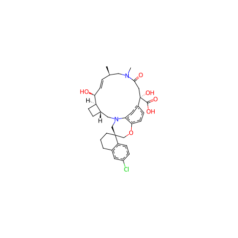 C[C@@H]1/C=C/[C@H](O)[C@@H]2CC[C@H]2CN2C[C@@]3(CCCc4cc(Cl)ccc43)COc3ccc(cc32)[C@](O)(C(=O)O)CC(=O)N(C)C1